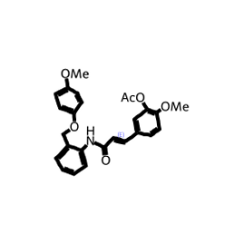 COc1ccc(OCc2ccccc2NC(=O)/C=C/c2ccc(OC)c(OC(C)=O)c2)cc1